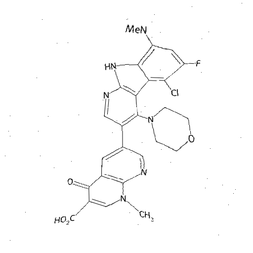 CNc1cc(F)c(Cl)c2c1[nH]c1ncc(-c3cnc4c(c3)c(=O)c(C(=O)O)cn4C)c(N3CCOCC3)c12